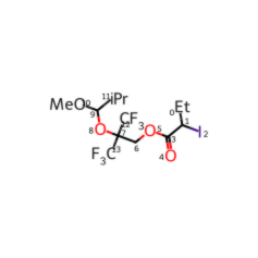 CCC(I)C(=O)OCC(OC(OC)C(C)C)(C(F)(F)F)C(F)(F)F